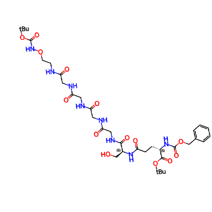 CC(C)(C)OC(=O)NOCCNC(=O)CNC(=O)CNC(=O)CNC(=O)CNC(=O)[C@H](CO)NC(=O)CC[C@H](NC(=O)OCc1ccccc1)C(=O)OC(C)(C)C